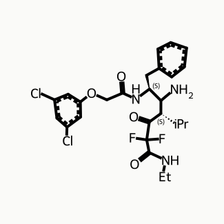 CCNC(=O)C(F)(F)C(=O)[C@@H](C(C)C)C(N)[C@H](Cc1ccccc1)NC(=O)COc1cc(Cl)cc(Cl)c1